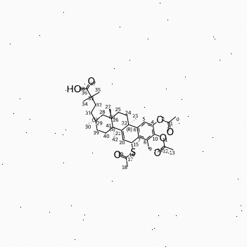 CC(=O)Oc1cc2c(c(C)c1OC(C)=O)C(SC(C)=O)C=C1[C@@]2(C)CC[C@@]2(C)C[C@](C)(CCC(C)(C)C(=O)O)CC[C@]12C